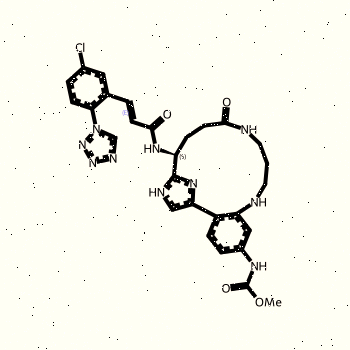 COC(=O)Nc1ccc2c(c1)NCCCNC(=O)CC[C@H](NC(=O)/C=C/c1cc(Cl)ccc1-n1cnnn1)c1nc-2c[nH]1